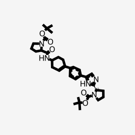 CC(C)(C)OC(=O)N1CCCC1C(=O)NC1CC=C(c2ccc(-c3cnc([C@@H]4CCCN4C(=O)OC(C)(C)C)[nH]3)cc2)CC1